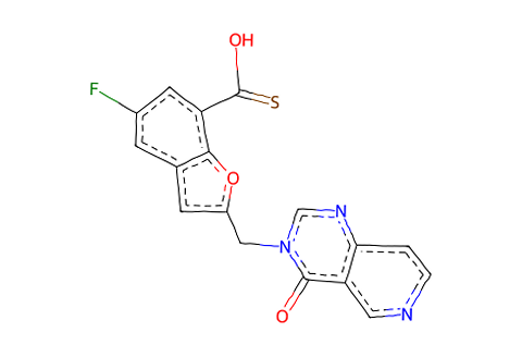 O=c1c2cnccc2ncn1Cc1cc2cc(F)cc(C(O)=S)c2o1